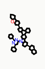 c1ccc(-c2cc(-n3c4ccc(-c5ccc6ccccc6c5)cc4c4cc5c6ccccc6c6cc(-c7ccc8c(c7)oc7ccccc78)ccc6c5cc43)nc(-c3ccccc3)n2)cc1